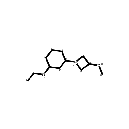 CCOC1CCCC(N2CC(OC)C2)C1